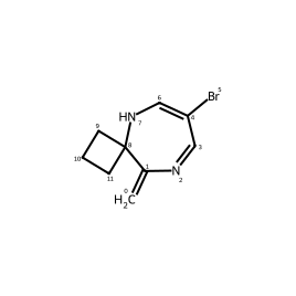 C=C1N=CC(Br)=CNC12CCC2